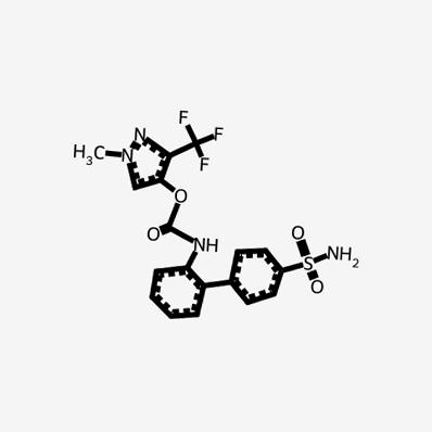 Cn1cc(OC(=O)Nc2ccccc2-c2ccc(S(N)(=O)=O)cc2)c(C(F)(F)F)n1